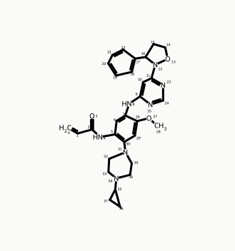 C=CC(=O)Nc1cc(Nc2cc(N3OCCC3c3ccccc3)ncn2)c(OC)cc1N1CCN(C2CC2)CC1